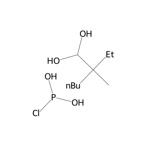 CCCCC(C)(CC)C(O)O.OP(O)Cl